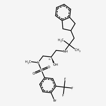 CN(C[C@H](O)CNC(C)(C)CC1Cc2ccccc2C1)S(=O)(=O)c1ccc(Br)c(C(F)(F)F)c1